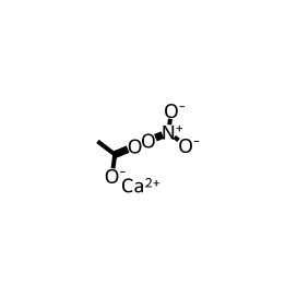 CC(=O)[O-].O=[N+]([O-])[O-].[Ca+2]